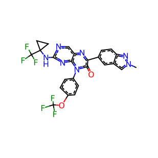 Cn1cc2cc(-c3nc4cnc(NC5(C(F)(F)F)CC5)nc4n(-c4ccc(OC(F)(F)F)cc4)c3=O)ccc2n1